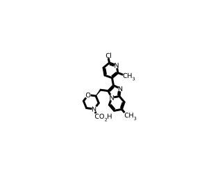 Cc1ccn2c(C[C@H]3CN(C(=O)O)CCO3)c(-c3ccc(Cl)nc3C)nc2c1